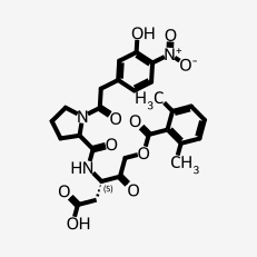 Cc1cccc(C)c1C(=O)OCC(=O)[C@H](CC(=O)O)NC(=O)C1CCCN1C(=O)Cc1ccc([N+](=O)[O-])c(O)c1